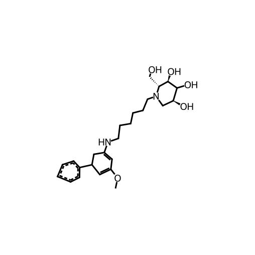 COC1=CC(c2ccccc2)CC(NCCCCCCN2C[C@H](O)C(O)[C@H](O)[C@H]2CO)=C1